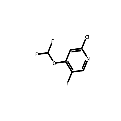 FC(F)Oc1cc(Cl)ncc1I